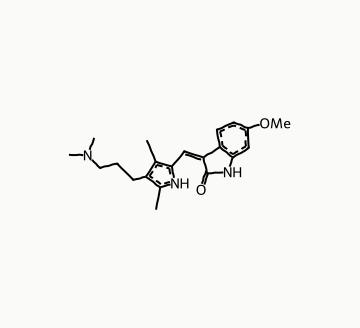 COc1ccc2c(c1)NC(=O)C2=Cc1[nH]c(C)c(CCCN(C)C)c1C